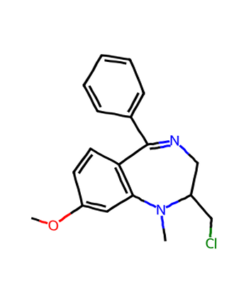 COc1ccc2c(c1)N(C)C(CCl)CN=C2c1ccccc1